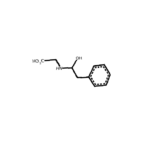 O=C(O)CNC(O)Cc1ccccc1